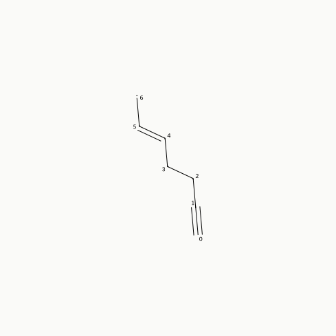 C#CCCC=C[CH2]